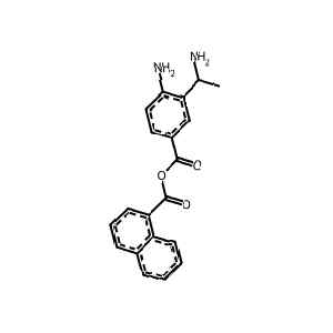 CC(N)c1cc(C(=O)OC(=O)c2cccc3ccccc23)ccc1N